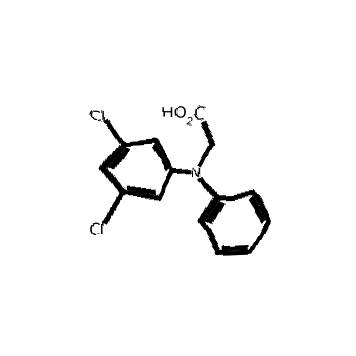 O=C(O)CN(c1ccccc1)c1cc(Cl)cc(Cl)c1